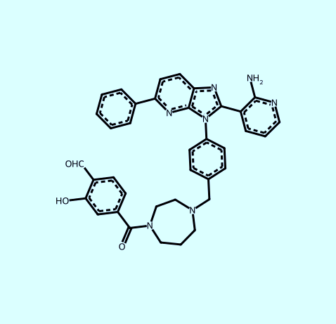 Nc1ncccc1-c1nc2ccc(-c3ccccc3)nc2n1-c1ccc(CN2CCCN(C(=O)c3ccc(C=O)c(O)c3)CC2)cc1